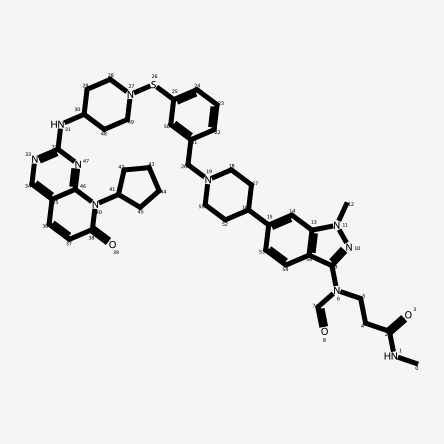 CNC(=O)CCN(C=O)c1nn(C)c2cc(C3CCN(Cc4cccc(SN5CCC(Nc6ncc7ccc(=O)n(C8CCCC8)c7n6)CC5)c4)CC3)ccc12